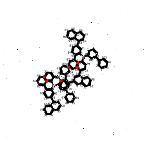 c1ccc(-c2cccc(N(c3ccc(-c4cc(-c5cccc6c5c5ccccc5n6-c5ccccc5N(c5cccc(-c6ccccc6)c5)c5cc(-c6cccc7ccccc67)ccc5-c5ccccc5)cc5ccccc45)cc3)c3cc(-c4cccc5ccccc45)ccc3-c3ccccc3)c2)cc1